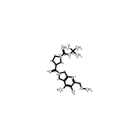 COCc1nc2c(c(C)c1Cl)CN(C(=O)C1CCN(C(=O)OC(C)(C)C)C1)C2